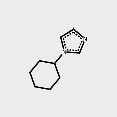 [c]1cn(C2CCCCC2)cn1